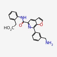 NCc1cccc(-c2nc(C(=O)Nc3ccccc3CC(=O)O)cc3ccoc23)c1